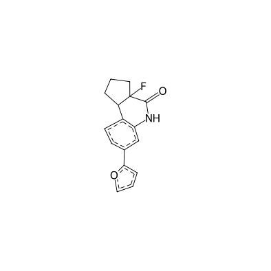 O=C1Nc2cc(-c3ccco3)ccc2C2CCCC12F